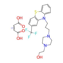 O=C(O)/C=C\C(=O)O.OCCN1CCN(CCCN2c3ccccc3Sc3ccc(C(F)(F)F)cc32)CC1